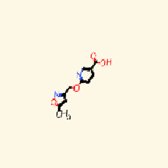 Cc1cc(COc2ccc(C(=O)O)cn2)no1